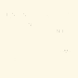 COc1ccc(Cl)cc1C1=C(N=NN)SC(Br)N1